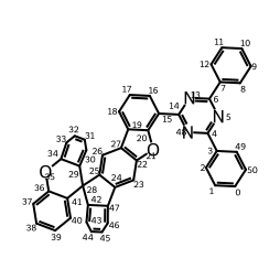 c1ccc(-c2nc(-c3ccccc3)nc(-c3cccc4c3oc3cc5c(cc34)C3(c4ccccc4Oc4ccccc43)c3ccccc3-5)n2)cc1